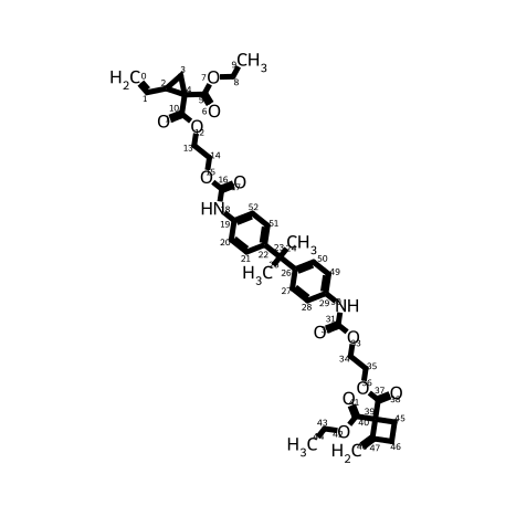 C=CC1CC1(C(=O)OCC)C(=O)OCCOC(=O)Nc1ccc(C(C)(C)c2ccc(NC(=O)OCCOC(=O)C3(C(=O)OCC)CCC3=C)cc2)cc1